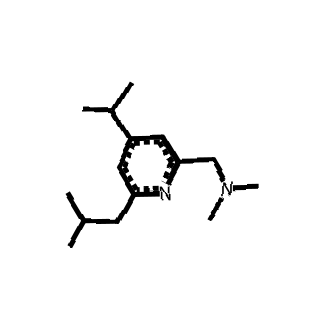 CC(C)Cc1cc(C(C)C)cc(CN(C)C)n1